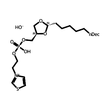 CCCCCCCCCCCCCCC[C@H]1OC[C@H](COP(=O)(O)OCC[n+]2ccsc2)O1.[OH-]